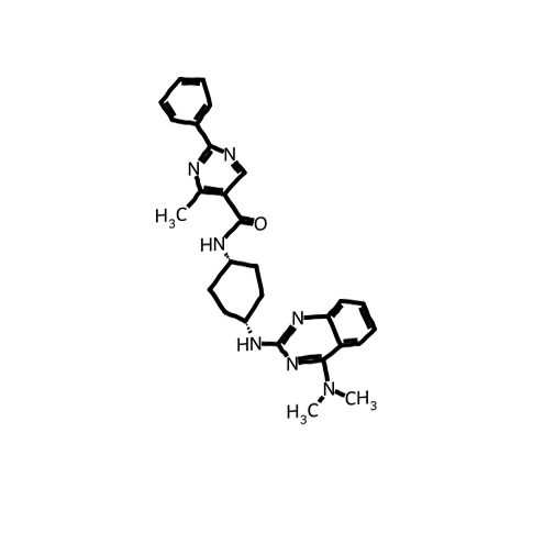 Cc1nc(-c2ccccc2)ncc1C(=O)N[C@H]1CC[C@@H](Nc2nc(N(C)C)c3ccccc3n2)CC1